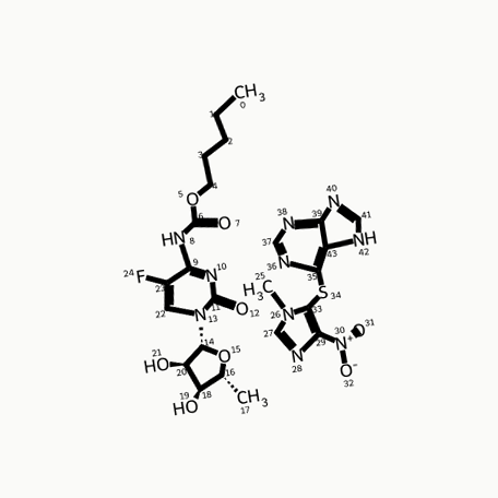 CCCCCOC(=O)Nc1nc(=O)n([C@@H]2O[C@H](C)[C@@H](O)[C@H]2O)cc1F.Cn1cnc([N+](=O)[O-])c1Sc1ncnc2nc[nH]c12